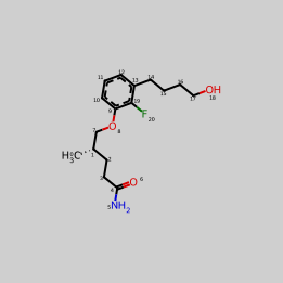 C[C@@H](CCC(N)=O)COc1cccc(CCCCO)c1F